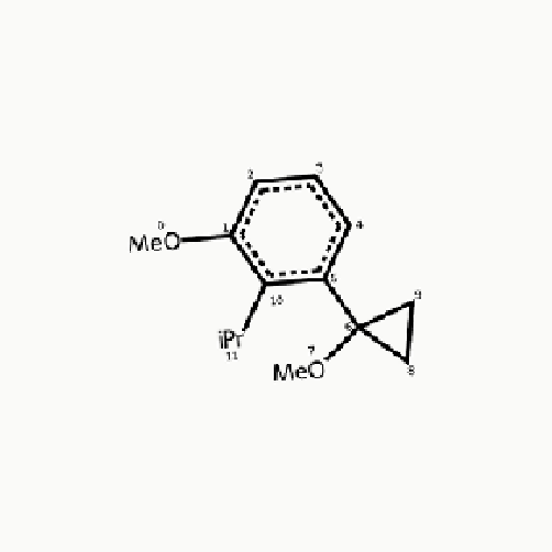 COc1cccc(C2(OC)CC2)c1C(C)C